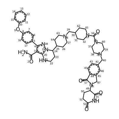 NC(=O)c1c(-c2ccc(Oc3ccccc3)cc2)nn2c1NCCC2C1CCN(CC2CCN(C(=O)N3CCN(Cc4ccc5c(c4)CN(C4CCC(=O)NC4=O)C5=O)CC3)CC2)CC1